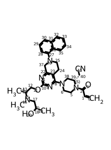 C=CC(=O)N1CCN(c2nc(OC[C@H](C)N(C)C[C@@H](C)O)nc3c2CCN(c2cccc4ccccc24)C3)C[C@@H]1CC#N